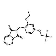 CCOc1nc(OCC(F)(F)F)ccc1CN1C(=O)c2ccccc2C1=O